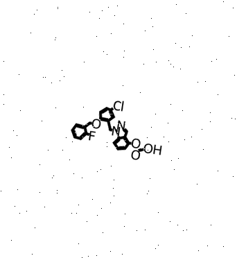 O=C(O)Oc1cccc2c1cnn2Cc1cc(Cl)ccc1OCc1ccccc1F